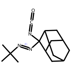 CC(C)(C)/N=N/C1(N=C=O)C2CC3CC(C2)CC1C3